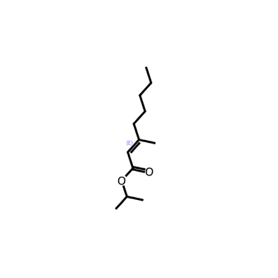 CCCCC/C(C)=C/C(=O)OC(C)C